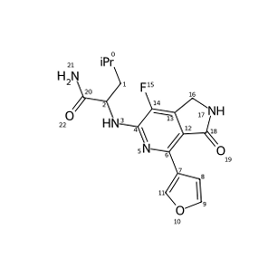 CC(C)CC(Nc1nc(-c2ccoc2)c2c(c1F)CNC2=O)C(N)=O